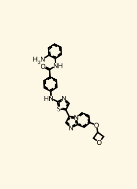 Nc1ccccc1NC(=O)c1ccc(Nc2ncc(-c3cnc4cc(OC5COC5)ccn34)s2)cc1